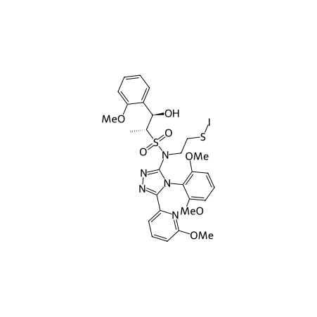 COc1cccc(-c2nnc(N(CCSI)S(=O)(=O)[C@H](C)[C@H](O)c3ccccc3OC)n2-c2c(OC)cccc2OC)n1